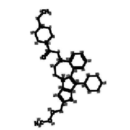 CCN1CCN(C(=O)CN2CCn3c(c(C4CCCCC4)c4sc(COOC)cc43)-c3ccccc32)CC1